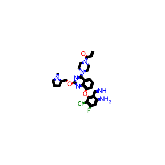 C=CC(=O)N1CCN(c2nc(OCC3CCCN3C)nc3c(Oc4c(Cl)c(F)cc(N)c4C=N)cccc23)CC1